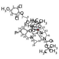 Cc1cc(Cl)c(OCCOc2ncc(C3=C(C(=O)N(Cc4cc(F)cc(F)c4)C4CC4)C4CN(C(=O)OC(C)(C)C)CC(C3)N4C(=O)OC(C)(C)C)s2)c(Cl)c1